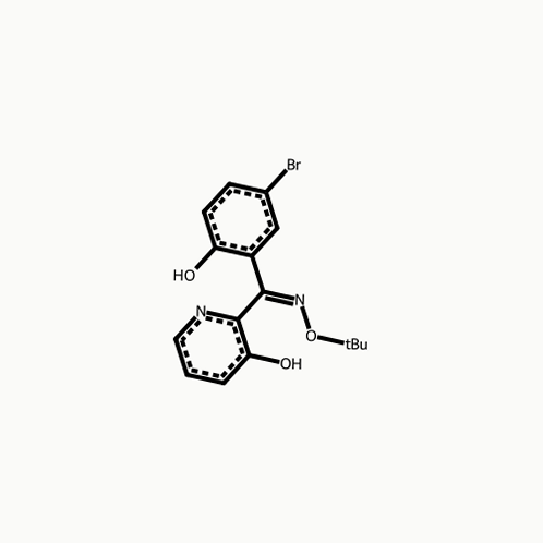 CC(C)(C)ON=C(c1cc(Br)ccc1O)c1ncccc1O